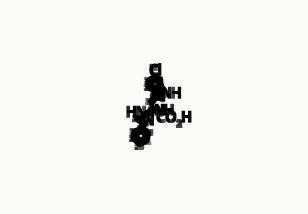 O=C(O)N[C@H](Cc1c[nH]c2cc(Cl)ccc12)c1nc(-c2ccccc2)c[nH]1